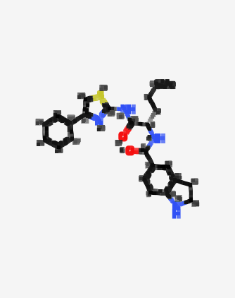 CSCC[C@H](NC(=O)c1ccc2c(c1)CCN2)C(=O)Nc1nc(-c2ccccc2)cs1